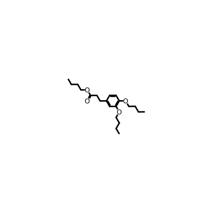 CCCCOC(=O)CCc1ccc(OCCCC)c(OCCCC)c1